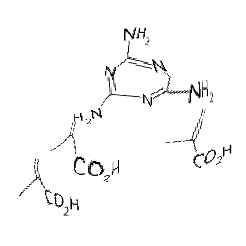 C=C(C)C(=O)O.C=C(C)C(=O)O.C=C(C)C(=O)O.Nc1nc(N)nc(N)n1